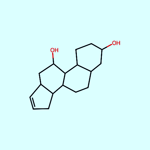 OC1CCC2C(CCC3C4CC=CC4CC(O)C23)C1